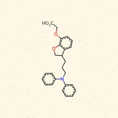 O=C(O)COc1cccc2c1OCC2CCCN(c1ccccc1)c1ccccc1